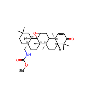 CC1(C)CC[C@]2(CNC(=O)OC(C)(C)C)CC[C@]3(C)C4(OC4CC4[C@@]5(C)C=CC(=O)C(C)(C)[C@@H]5CC[C@]43C)[C@@H]2C1